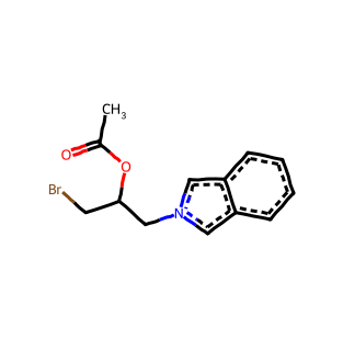 CC(=O)OC(CBr)Cn1cc2ccccc2c1